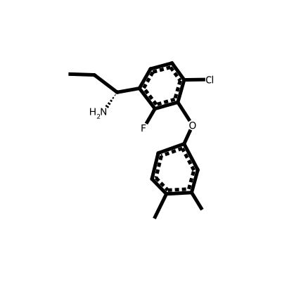 CC[C@@H](N)c1ccc(Cl)c(Oc2ccc(C)c(C)c2)c1F